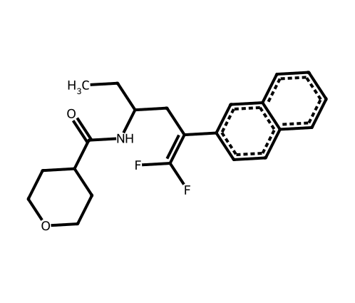 CCC(CC(=C(F)F)c1ccc2ccccc2c1)NC(=O)C1CCOCC1